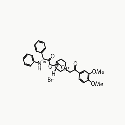 COc1ccc(C(=O)C[N+]23CCC(CC2)[C@@H](OC(=O)[C@H](Nc2ccccc2)c2ccccc2)C3)cc1OC.[Br-]